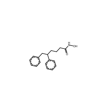 O=C(CCCC(Cc1ccccc1)c1ccccc1)NO